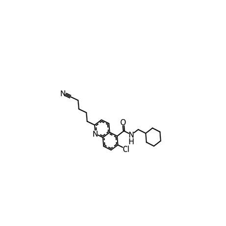 N#CCCCCc1ccc2c(C(=O)NCC3CCCCC3)c(Cl)ccc2n1